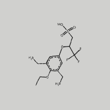 BCc1cc(OC(CS(=O)(=O)O)C(F)(F)F)cc(CB)c1OCC